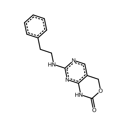 O=C1Nc2nc(NCCc3ccccc3)ncc2CO1